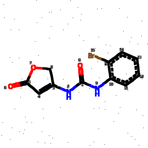 O=C(NC1=CC(=O)OC1)Nc1ccccc1Br